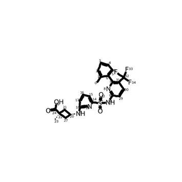 Cc1ccccc1-c1nc(NS(=O)(=O)c2cccc(N[C@H]3C[C@](C)(C(=O)O)C3)n2)ccc1C(F)(F)F